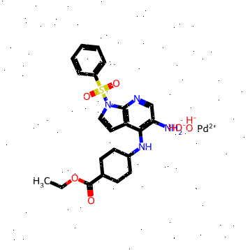 CCOC(=O)C1CCC(Nc2c(N)cnc3c2ccn3S(=O)(=O)c2ccccc2)CC1.[OH-].[OH-].[Pd+2]